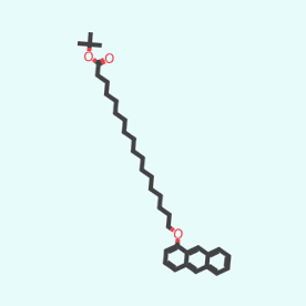 CC(C)(C)OC(=O)CCCCCCCCCCCCCCCCCOc1cccc2cc3ccccc3cc12